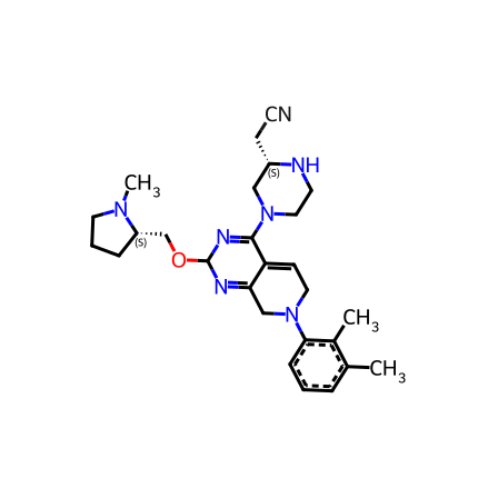 Cc1cccc(N2CC=C3C(=NC(OC[C@@H]4CCCN4C)N=C3N3CCN[C@@H](CC#N)C3)C2)c1C